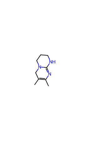 CC1=C(C)N=C2NCCCN2C1